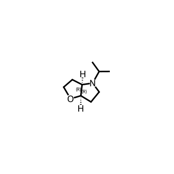 CC(C)N1CC[C@H]2OCC[C@H]21